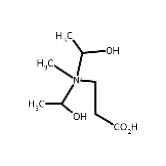 CC(O)[N+](C)(CCC(=O)O)C(C)O